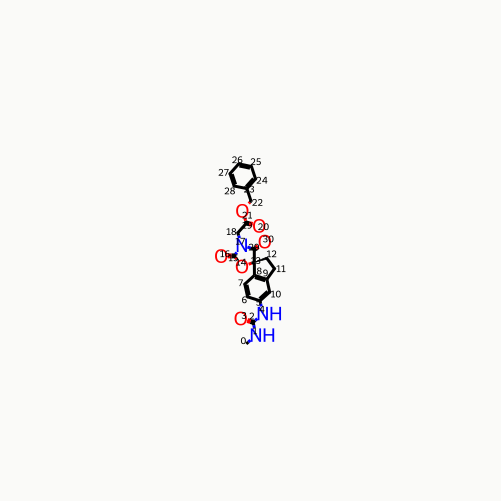 CNC(=O)Nc1ccc2c(c1)CC[C@]21OC(=O)N(CC(=O)OCc2ccccc2)C1=O